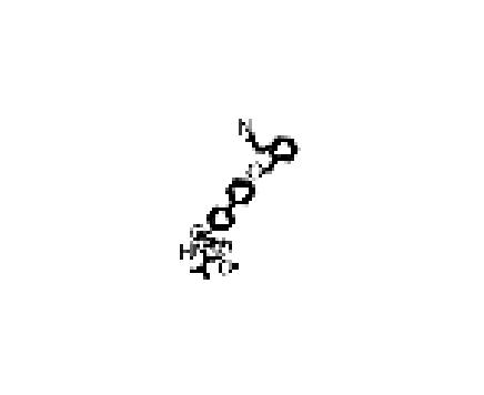 COC(=O)C(NS(=O)(=O)c1ccc(-c2ccc(OCc3ccccc3CC#N)cc2)cc1)C(C)C